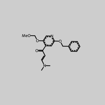 COCOc1cnc(OCc2ccccc2)cc1C(=O)C=CN(C)C